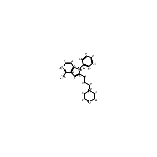 Clc1nccc2c1cc(CCCN1CCOCC1)n2-c1ccccc1